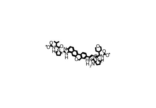 COC(=O)N[C@H](C(=O)N1[C@@H](C)CC[C@H]1c1nc2ccc3cc4c(cc3c2[nH]1)OCc1cc(-c2cnc([C@]3(N)CC[C@H](C)N3C(=O)[C@@H](NC(=O)OC)C3CCOCC3)[nH]2)ccc1-4)C(C)C